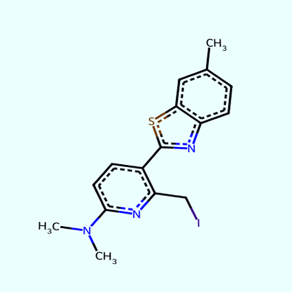 Cc1ccc2nc(-c3ccc(N(C)C)nc3CI)sc2c1